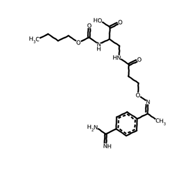 CCCCOC(=O)NC(CNC(=O)CCO/N=C(/C)c1ccc(C(=N)N)cc1)C(=O)O